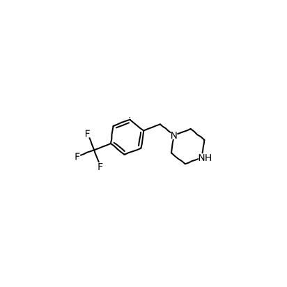 FC(F)(F)c1c[c]c(CN2CCNCC2)cc1